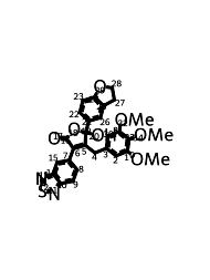 COc1cc(CC2=C(c3ccc4nsnc4c3)C(=O)OC2(O)c2ccc3c(c2)CCO3)cc(OC)c1OC